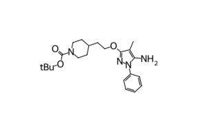 Cc1c(OCCC2CCN(C(=O)OC(C)(C)C)CC2)nn(-c2ccccc2)c1N